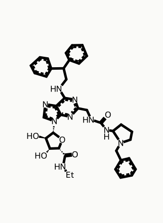 CCNC(=O)[C@H]1O[C@@H](n2cnc3c(NCC(c4ccccc4)c4ccccc4)nc(CNC(=O)NC4CCCN4Cc4ccccc4)nc32)[C@H](O)[C@H]1O